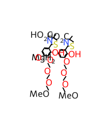 COCCOCCOCCOc1cccc(C2=NC(C)(C(=O)O)CS2)c1O.COCCOCCOCCOc1cccc(C2=N[C@@](C)(C(=O)O)CS2)c1O.[MgH2].[O]